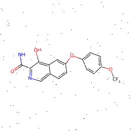 [NH]C(=O)c1ncc2ccc(Oc3ccc(OC(F)(F)F)cc3)cc2c1O